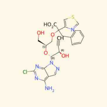 C#C[C@@H](O)[C@@H](O[C@@H](CO)COC(Cc1ccccc1)(C(=O)O)c1cscn1)n1ncc2c(N)nc(Cl)nc21